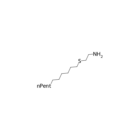 CCCCCCCCCCCSCCN